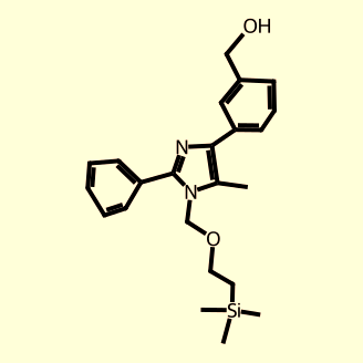 Cc1c(-c2cccc(CO)c2)nc(-c2ccccc2)n1COCC[Si](C)(C)C